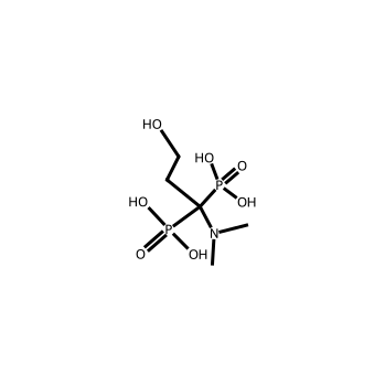 CN(C)C(CCO)(P(=O)(O)O)P(=O)(O)O